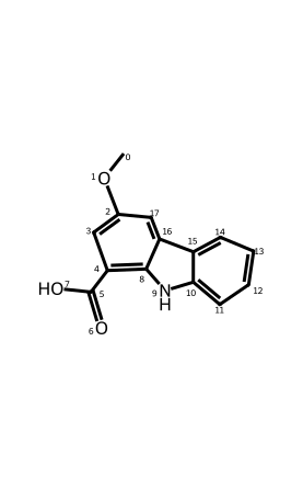 COc1cc(C(=O)O)c2[nH]c3ccccc3c2c1